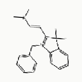 CN(C)C=CC1=[N+](Cc2ccccc2)c2ccccc2C1(C)C